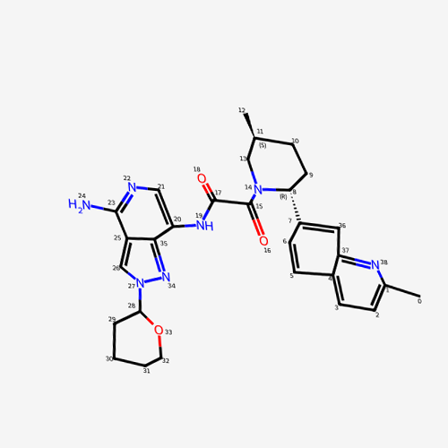 Cc1ccc2ccc([C@H]3CC[C@H](C)CN3C(=O)C(=O)Nc3cnc(N)c4cn(C5CCCCO5)nc34)cc2n1